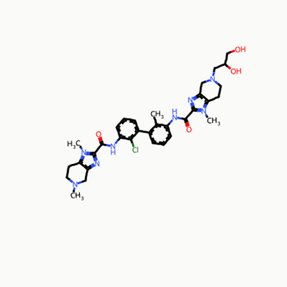 Cc1c(NC(=O)c2nc3c(n2C)CCN(CC(O)CO)C3)cccc1-c1cccc(NC(=O)c2nc3c(n2C)CCN(C)C3)c1Cl